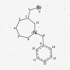 BrCC1CCCCN(Cc2ccccc2)C1